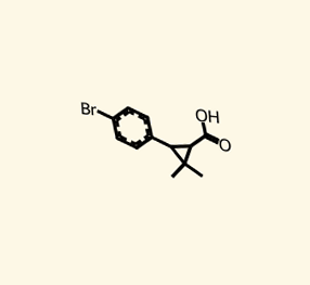 CC1(C)C(C(=O)O)C1c1ccc(Br)cc1